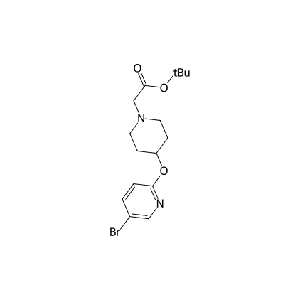 CC(C)(C)OC(=O)CN1CCC(Oc2ccc(Br)cn2)CC1